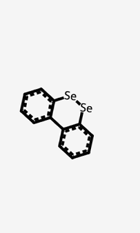 c1ccc2c(c1)[Se][Se]c1ccccc1-2